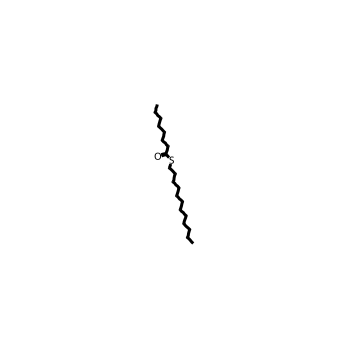 CCCCCCCCCCCCSC(=O)CCCCCCC